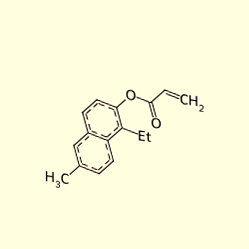 C=CC(=O)Oc1ccc2cc(C)ccc2c1CC